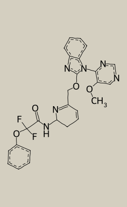 COc1cncnc1-n1c(OCC2=NC(NC(=O)C(F)(F)Oc3ccccc3)CC=C2)nc2ccccc21